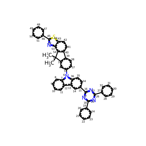 CC1(C)c2cc(-n3c4ccccc4c4cc(-c5nc(-c6ccccc6)nc(-c6ccccc6)n5)ccc43)ccc2-c2ccc3sc(-c4ccccc4)nc3c21